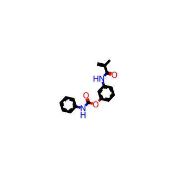 C=C(C)C(=O)Nc1cccc(OC(=O)Nc2ccccc2)c1